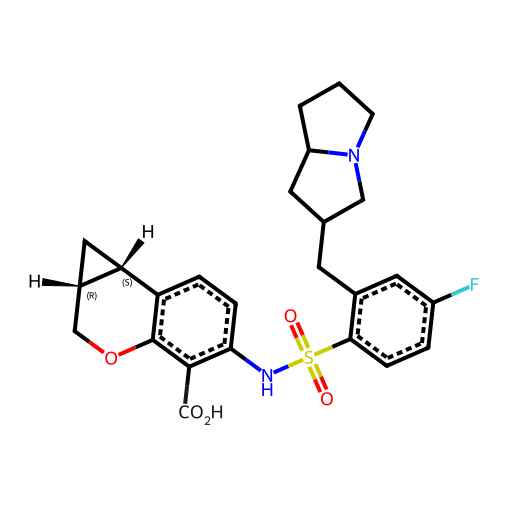 O=C(O)c1c(NS(=O)(=O)c2ccc(F)cc2CC2CC3CCCN3C2)ccc2c1OC[C@@H]1C[C@H]21